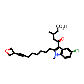 CC(CC(=O)O)CC(=O)c1c(CCCCCCC#CC2COC2)n(C)c2ccc(Cl)cc12